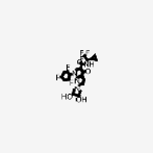 O=C(N[C@@H](C1CC1)C(F)(F)F)c1cn(-c2c(F)cc(F)cc2F)c2nc(N3C[C@H](O)[C@@H](O)C3)ccc2c1=O